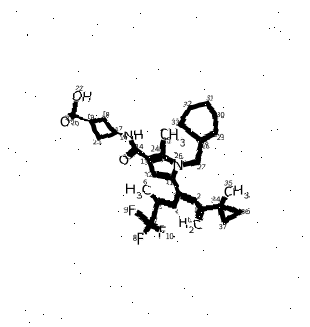 C=C(/C=C(\C=C(/C)C(F)(F)F)c1cc(C(=O)N[C@H]2C[C@H](C(=O)O)C2)c(C)n1CC1CCCCC1)C1(C)CC1